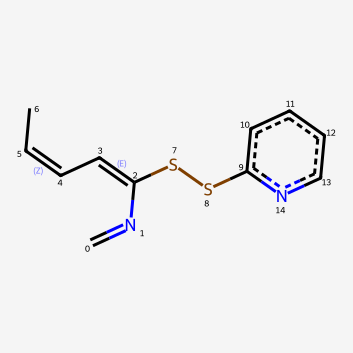 C=N/C(=C\C=C/C)SSc1ccccn1